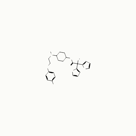 CN(CCOc1ccc(C=O)cc1)C1CCC(OC(=O)C(O)(c2cccs2)c2cccs2)CC1